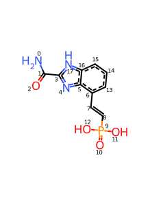 NC(=O)c1nc2c(/C=C/P(=O)(O)O)cccc2[nH]1